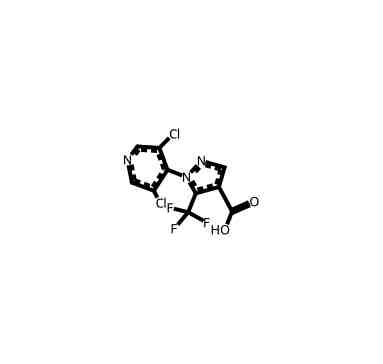 O=C(O)c1cnn(-c2c(Cl)cncc2Cl)c1C(F)(F)F